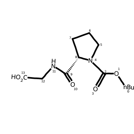 CCCCOC(=O)N1CCC[C@H]1C(=O)NCC(=O)O